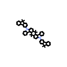 CC1(C)c2ccccc2-c2cc(-n3c4ccccc4c4c5c(ccc43)C(C)(C)c3c(ccc4c3c3ccccc3n4-c3ccc4c(c3)-c3ccccc3C4(C)C)C5(C)C)ccc21